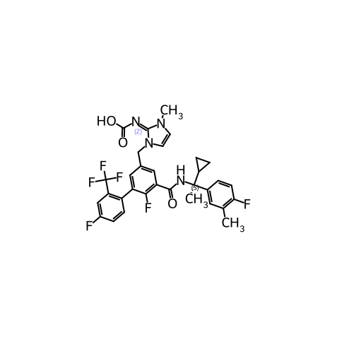 Cc1cc([C@@](C)(NC(=O)c2cc(Cn3ccn(C)/c3=N/C(=O)O)cc(-c3ccc(F)cc3C(F)(F)F)c2F)C2CC2)ccc1F